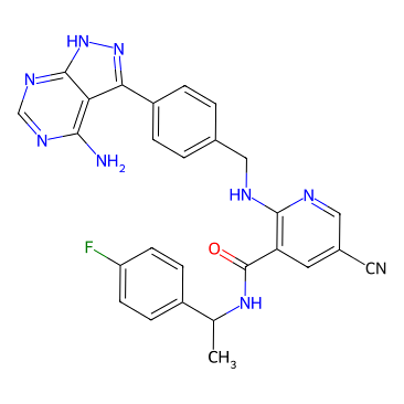 CC(NC(=O)c1cc(C#N)cnc1NCc1ccc(-c2n[nH]c3ncnc(N)c23)cc1)c1ccc(F)cc1